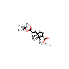 COC(=O)[C@H]1CC[C@@](C)(/C=C/C(=O)OC(C)(C)C)C1(C)C